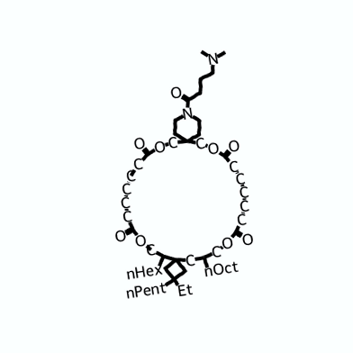 CCCCCCCCC1COC(=O)CCCCCC(=O)OCC2(CCN(C(=O)CCCN(C)C)CC2)COC(=O)CCCCCC(=O)OCC(CCCCCC)C2(C1)CC(CC)(CCCCC)C2